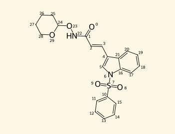 O=C(C=Cc1cn(S(=O)(=O)c2ccccc2)c2ccccc12)NOC1CCCCO1